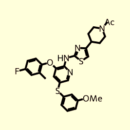 COc1cccc(Sc2cnc(Nc3nc(C4CCN(C(C)=O)CC4)cs3)c(Oc3ccc(F)cc3C)c2)c1